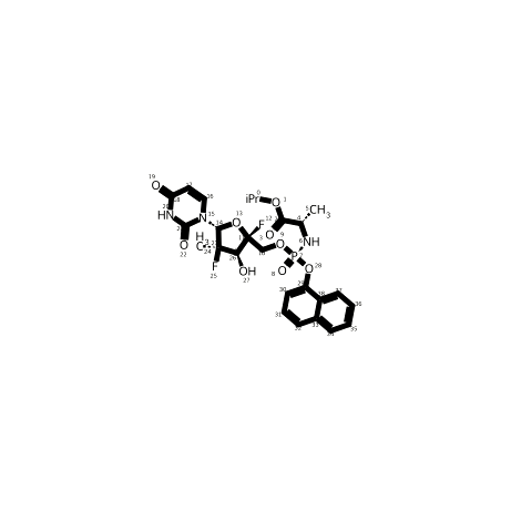 CC(C)OC(=O)[C@H](C)N[P@](=O)(OC[C@@]1(F)O[C@@H](n2ccc(=O)[nH]c2=O)[C@](C)(F)[C@@H]1O)Oc1cccc2ccccc12